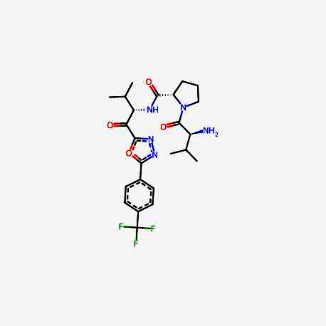 CC(C)[C@H](N)C(=O)N1CCC[C@H]1C(=O)N[C@H](C(=O)c1nnc(-c2ccc(C(F)(F)F)cc2)o1)C(C)C